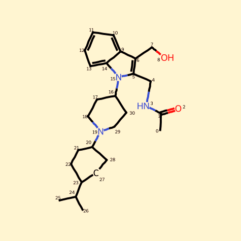 CC(=O)NCc1c(CO)c2ccccc2n1C1CCN(C2CCC(C(C)C)CC2)CC1